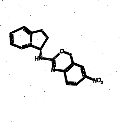 O=[N+]([O-])c1ccc2c(c1)COC(N[C@@H]1CCc3ccccc31)=N2